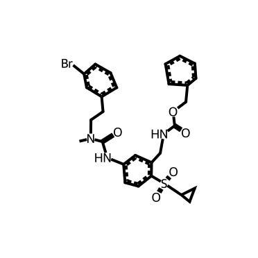 CN(CCc1cccc(Br)c1)C(=O)Nc1ccc(S(=O)(=O)C2CC2)c(CNC(=O)OCc2ccccc2)c1